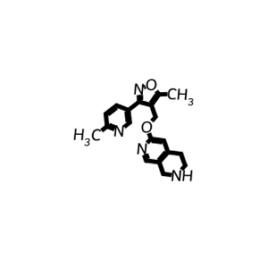 Cc1ccc(-c2noc(C)c2COc2cc3c(cn2)CNCC3)cn1